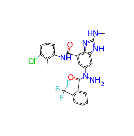 CNc1nc2c(C(=O)Nc3cccc(Cl)c3C)cc(N(N)C(=O)c3ccccc3C(F)(F)F)cc2[nH]1